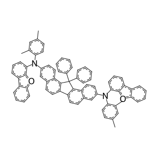 Cc1ccc(N(c2ccc3c4c(ccc3c2)-c2ccc3cc(N(c5ccc(C)cc5C)c5cccc6c5oc5ccccc56)ccc3c2C4(c2ccccc2)c2ccccc2)c2cccc3c2oc2ccccc23)c(C)c1